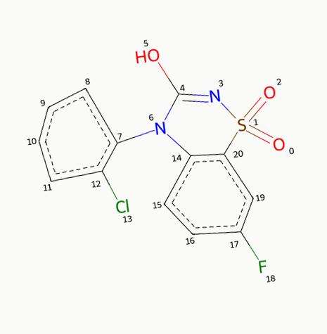 O=S1(=O)N=C(O)N(c2ccccc2Cl)c2ccc(F)cc21